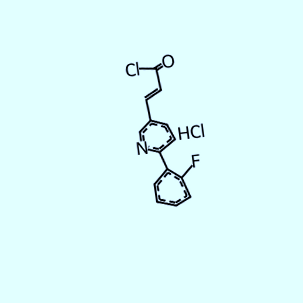 Cl.O=C(Cl)C=Cc1ccc(-c2ccccc2F)nc1